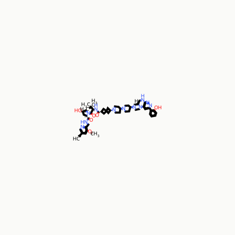 C#Cc1cnc(CNC(=O)[C@@H]2C[C@@H](O)CN2C(=O)[C@@H](NC(=O)[C@H]2CC3(C2)C[C@H](N2CCC(N4CCC(N5CCN6c7cc(-c8ccccc8O)nnc7NC[C@H]6C5)CC4)CC2)C3)C(C)(C)C)c(OC)c1